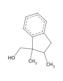 CC1Cc2ccccc2C1(C)CO